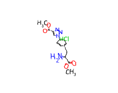 COC(=O)c1cn(-c2ccc(CC(N)C(=O)OC)cc2)nn1.Cl